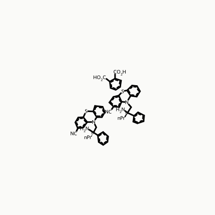 CCC[C@@](N)(CN1c2ccccc2Sc2ccc(C#N)cc21)c1ccccc1.CCC[C@](N)(CN1c2ccccc2Sc2ccc(C#N)cc21)c1ccccc1.O=C(O)c1ccccc1C(=O)O